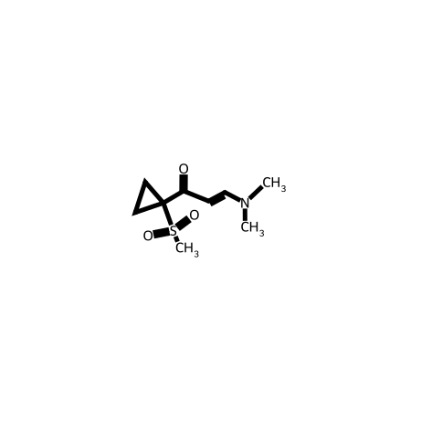 CN(C)/C=C/C(=O)C1(S(C)(=O)=O)CC1